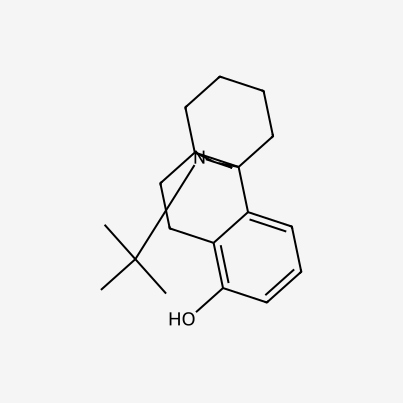 CC(C)(C)N1CCC23CCCCC2(CCc2c(O)cccc23)C1